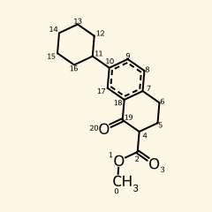 COC(=O)C1CCc2ccc(C3CCCCC3)cc2C1=O